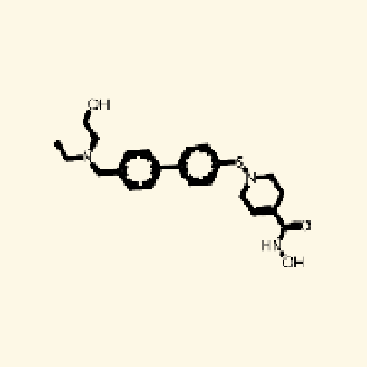 CCN(CCO)Cc1ccc(-c2ccc(SN3CC=C(C(=O)NO)CC3)cc2)cc1